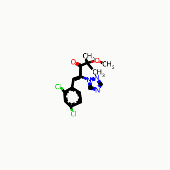 COC(C)(C)C(=O)C(=Cc1ccc(Cl)cc1Cl)n1cncn1